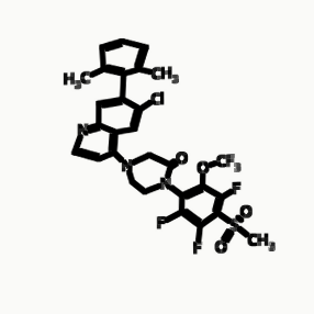 Cc1cccc(C)c1-c1cc2nccc(N3CCN(c4c(F)c(F)c(S(C)(=O)=O)c(F)c4OC(F)(F)F)C(=O)C3)c2cc1Cl